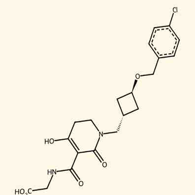 O=C(O)CNC(=O)C1=C(O)CCN(C[C@H]2C[C@H](OCc3ccc(Cl)cc3)C2)C1=O